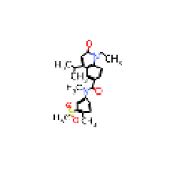 CCn1c(=O)cc(C(C)C)c2cc(C(=O)N(C)c3ccc(C)c(S(C)(=O)=O)c3)ccc21